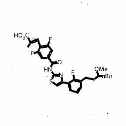 CCCCC(CCc1cccc(-c2csc(NC(=O)c3cc(F)c(/C=C(\C)C(=O)O)c(F)c3)n2)c1F)OC